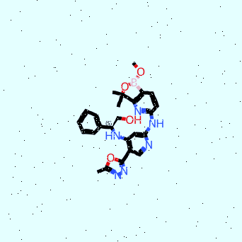 COB1OC(C)(C)c2nc(Nc3cc(N[C@H](CO)c4ccccc4)c(-c4nnc(C)o4)cn3)ccc21